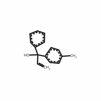 C=CC(O)(c1ccccc1)c1ccc(C)cc1